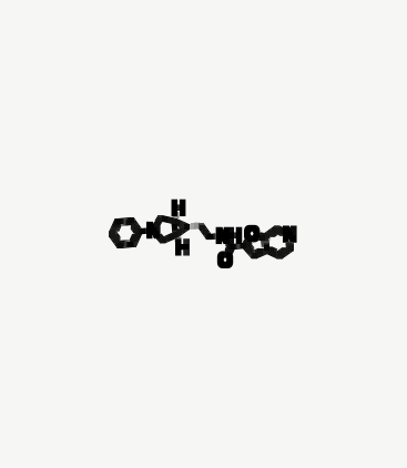 O=C(NCC[C@@H]1[C@H]2CN(c3ccccc3)C[C@@H]12)c1cc2ccncc2o1